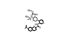 C=C(C)c1ccc2ccc(C(=O)Nc3cnccc3N3C[C@H](C)[C@@H](O[Si](C)(C)C(C)(C)C)[C@H](NC(=O)OC(C)(C)C)C3)nc2c1